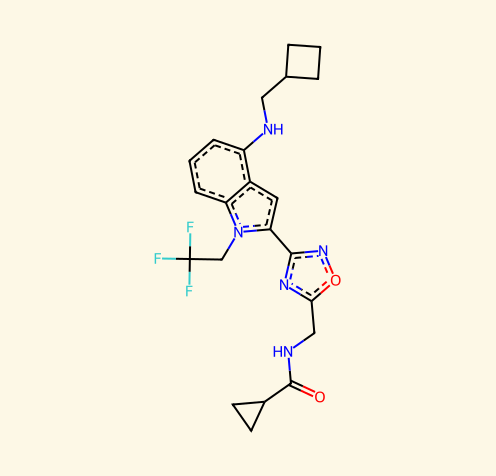 O=C(NCc1nc(-c2cc3c(NCC4CCC4)cccc3n2CC(F)(F)F)no1)C1CC1